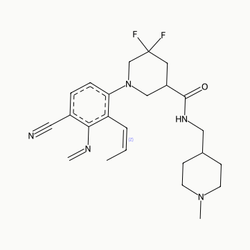 C=Nc1c(C#N)ccc(N2CC(C(=O)NCC3CCN(C)CC3)CC(F)(F)C2)c1/C=C\C